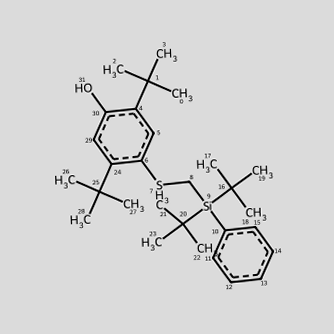 CC(C)(C)c1cc(SC[Si](c2ccccc2)(C(C)(C)C)C(C)(C)C)c(C(C)(C)C)cc1O